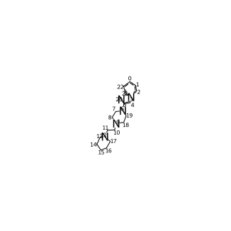 c1ccn2cc(N3CCN(CCN4CCCCC4)CC3)nc2c1